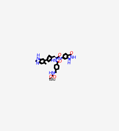 Cc1cc2nc[nH]c2cc1-c1ccc(C[C@H](NC(=O)C2CCC(CNC(=O)OC(C)(C)C)CC2)C(=O)Nc2ccc3c(=O)[nH][nH]c3c2)cc1